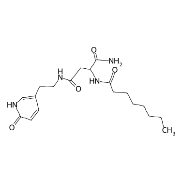 CCCCCCCC(=O)NC(CC(=O)NCCc1ccc(=O)[nH]c1)C(N)=O